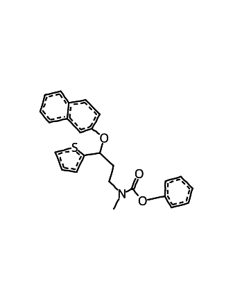 CN(CCC(Oc1ccc2ccccc2c1)c1cccs1)C(=O)Oc1ccccc1